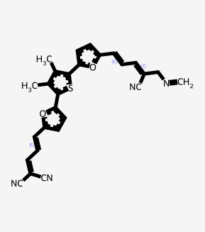 C=NC/C(C#N)=C/C=C/c1ccc(-c2sc(-c3ccc(/C=C/C=C(C#N)C#N)o3)c(C)c2C)o1